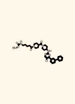 CC(C)(C)OC(=O)NCCCCC(=O)N1CCC(C(=O)N2CCC(Nc3ncc(Cl)c(-c4cccc(-c5ccccc5)c4)n3)CC2)CC1